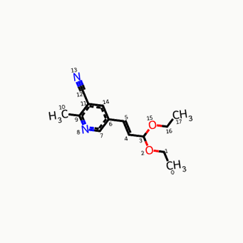 CCOC(C=Cc1cnc(C)c(C#N)c1)OCC